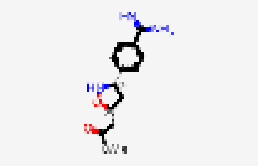 COC(=O)C[C@H]1C[C@@H](c2ccc(C(=N)N)cc2)NO1